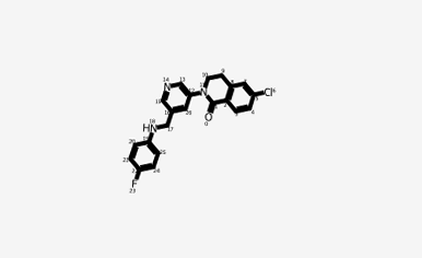 O=C1c2ccc(Cl)cc2CCN1c1cncc(CNc2ccc(F)cc2)c1